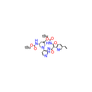 C=Cc1cnc2c(C(=O)Nc3cnccc3N3CC(NC(=O)OC(C)(C)C)C[C@@H](C)C3)c(NC(=O)OC(C)(C)C)oc2c1